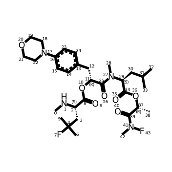 CN[C@@H](CC(C)(C)F)C(=O)O[C@H](Cc1ccc(N2CCOCC2)cc1)C(=O)N(C)[C@@H](CC(C)C)C(=O)O[C@H](C)C(=O)N(C)F